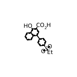 CCS(=O)(=O)c1ccc(-c2cc(C(=O)O)c(O)c3ccccc23)cc1